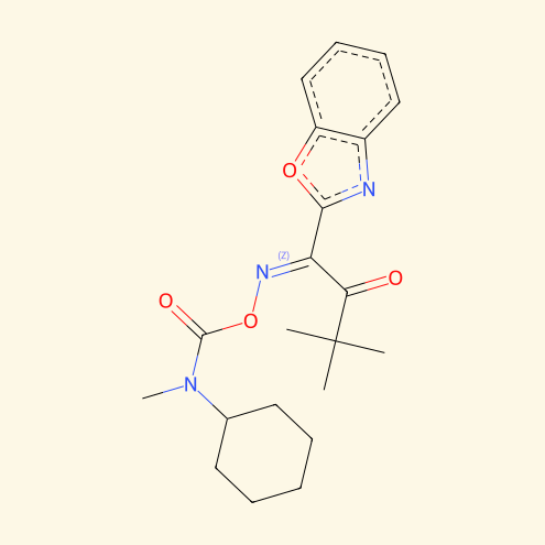 CN(C(=O)O/N=C(\C(=O)C(C)(C)C)c1nc2ccccc2o1)C1CCCCC1